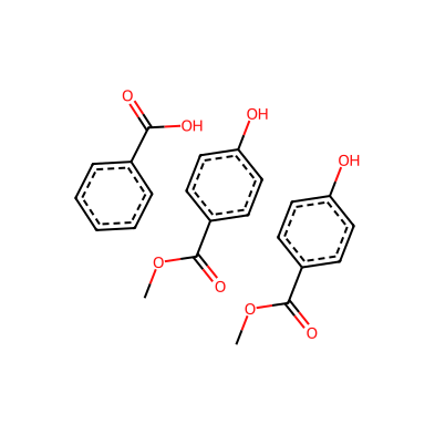 COC(=O)c1ccc(O)cc1.COC(=O)c1ccc(O)cc1.O=C(O)c1ccccc1